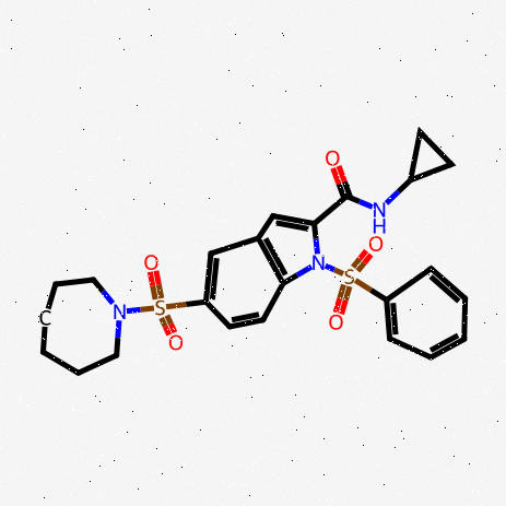 O=C(NC1CC1)c1cc2cc(S(=O)(=O)N3CCCCCC3)ccc2n1S(=O)(=O)c1ccccc1